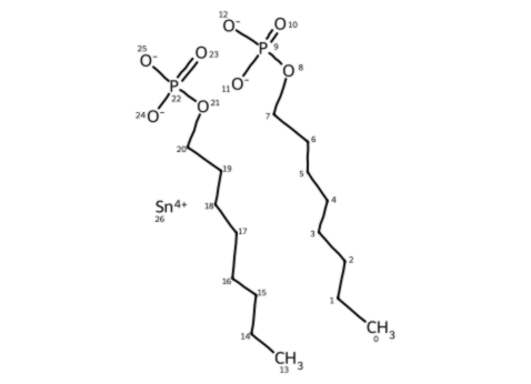 CCCCCCCCOP(=O)([O-])[O-].CCCCCCCCOP(=O)([O-])[O-].[Sn+4]